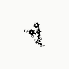 CC(C)CCS(=O)(=O)NC(=O)C=Cc1cc(OC2CCOCC2)nn1Cc1ccc(C(F)(F)F)cc1Cl